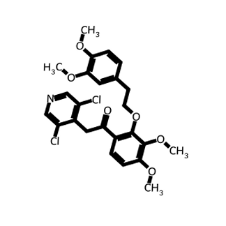 COc1ccc(CCOc2c(C(=O)Cc3c(Cl)cncc3Cl)ccc(OC)c2OC)cc1OC